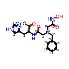 COC(=O)C(Cc1c[nH]cn1)NC(=O)CN(CC(=O)NO)Cc1ccccc1